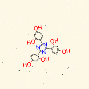 Oc1ccc(-c2nc(-c3ccc(O)cc3O)nc(-c3ccc(O)cc3O)n2)c(O)c1